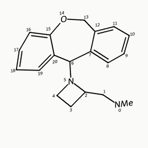 CNCC1CCN1C1c2ccccc2COc2ccccc21